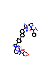 CC(C1CCOCC1)[N+](O)(C(=O)[O-])N1CCC[C@H]1c1ncc(-c2ccc(-c3ccc4cc(-c5cnc([C@@H]6CCCN6C(=O)C(c6ccccc6)N(C)C)[nH]5)ccc4c3)cc2)[nH]1